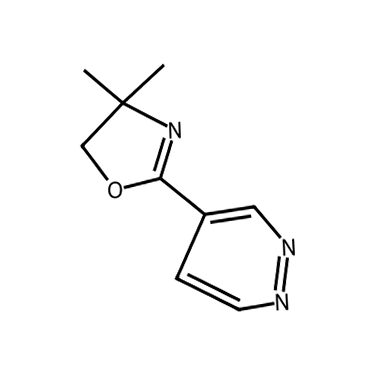 CC1(C)COC(c2ccnnc2)=N1